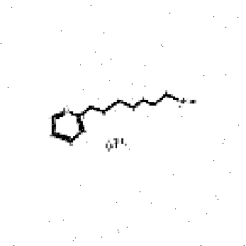 CCCCCCCCCCCCCCCCc1ccccn1.Cl.N